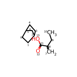 C1CC2CCC1C2.C=C(CC)C(=O)O